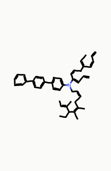 C=C/C=C\C(=C/C)C/C=C\C(=C/C=C)N(C/C=C\C/C(C)=C(/C)C(CC)/C(C)=C/C)c1ccc(-c2ccc(-c3ccccc3)cc2)cc1